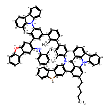 CCCCCc1cc(-c2cc3sc4ccccc4c3cc2Nc2ccc(-c3cccc(-c4cc(-c5cc6oc7ccccc7c6cc5Nc5ccccc5C)c5c(c4)-n4c6ccccc6c6cccc(c64)B5)c3C)cc2C)c2c(c1)-n1c3ccccc3c3cccc(c31)B2